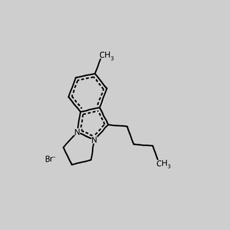 CCCCc1c2cc(C)ccc2[n+]2n1CCC2.[Br-]